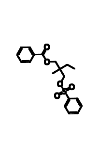 CCC(C)(COC(=O)c1ccccc1)COS(=O)(=O)c1ccccc1